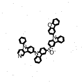 [O-][S+](c1ccc2c(c1)c1ccccc1n2-c1ccc2oc3ccccc3c2c1)c1ccc2c(c1)c1ccccc1n2-c1ccc2c(c1)c1cnccc1n2-c1ccccc1